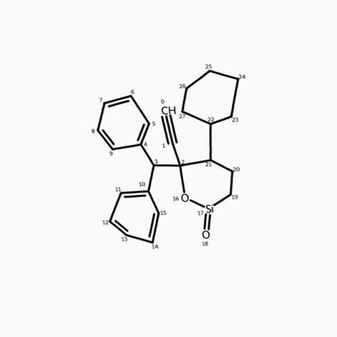 C#CC1(C(c2ccccc2)c2ccccc2)O[Si](=O)CCC1C1CCCCC1